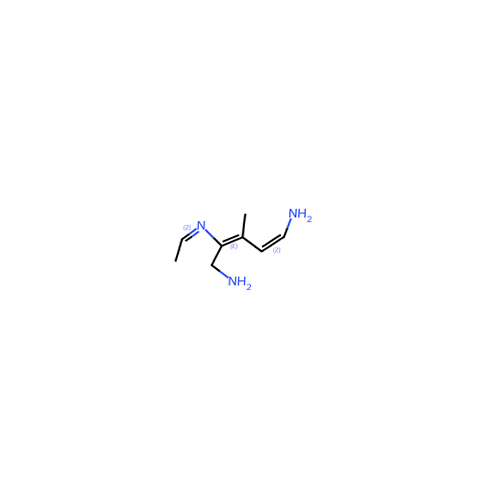 C\C=N/C(CN)=C(C)/C=C\N